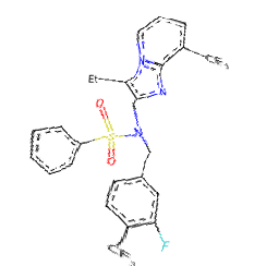 CCc1c(N(Cc2ccc(C(F)(F)F)c(F)c2)S(=O)(=O)c2ccccc2)nc2c(C(F)(F)F)cccn12